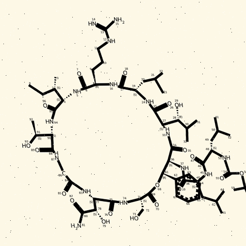 CC[C@H](C)[C@@H]1NC(=O)[C@@H](CCCNC(=N)N)NC(=O)[C@H](CC(C)C)NC(=O)[C@H]([C@H](O)C(C)C)NC(=O)[C@@H](NC(=O)[C@H](CC(C)C)NC(=O)[C@H](CC(C)C)NC(=O)OC(C)(C)C)[C@@H](c2ccccc2)OC(=O)[C@H](CO)NC(=O)[C@H]([C@H](O)C(N)=O)NC(=O)CNC(=O)[C@H]([C@H](C)O)NC1=O